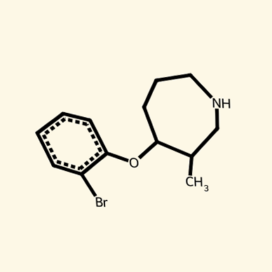 CC1CNCCCC1Oc1ccccc1Br